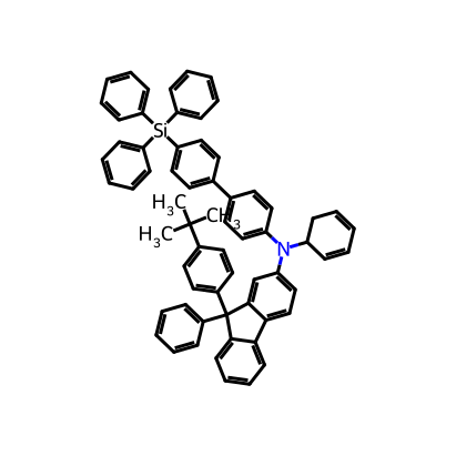 CC(C)(C)c1ccc(C2(c3ccccc3)c3ccccc3-c3ccc(N(c4ccc(-c5ccc([Si](c6ccccc6)(c6ccccc6)c6ccccc6)cc5)cc4)C4C=CC=CC4)cc32)cc1